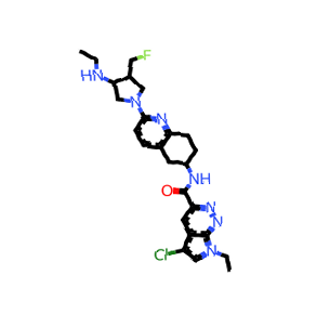 CCNC1CN(c2ccc3c(n2)CCC(NC(=O)c2cc4c(Cl)cn(CC)c4nn2)C3)CC1CF